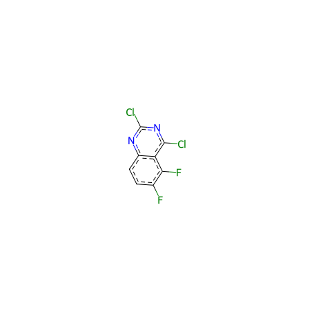 Fc1ccc2nc(Cl)nc(Cl)c2c1F